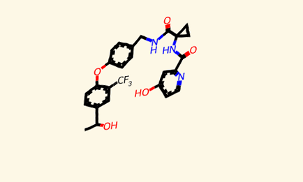 CC(O)c1ccc(Oc2ccc(CNC(=O)C3(NC(=O)c4cc(O)ccn4)CC3)cc2)c(C(F)(F)F)c1